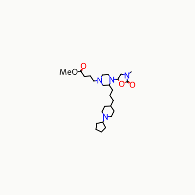 COC(=O)CCCN1CCN(C2CN(C)C(=O)O2)C(CCCC2CCN(C3CCCC3)CC2)C1